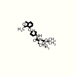 CC[C@@H](NC(=O)OC(C)(C)C)C(=O)Nc1ccc(Oc2cccc3c2C(C)OC3)nc1